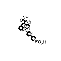 CC(C(N)=O)C(Cc1ccccc1)c1nc(Nc2ccc(C3CCN(C(=O)O)CC3)nc2)ncc1Cl